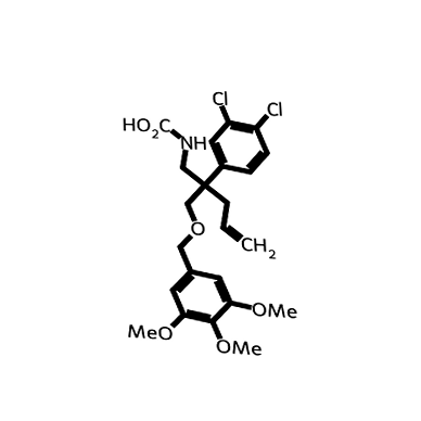 C=CCC(CNC(=O)O)(COCc1cc(OC)c(OC)c(OC)c1)c1ccc(Cl)c(Cl)c1